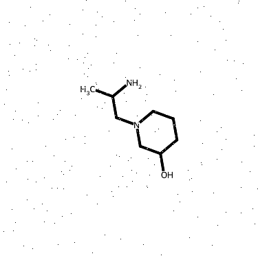 CC(N)CN1CCCC(O)C1